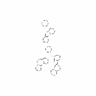 c1ccc(-c2cccc3c2oc2ccc(-c4ccc(N(c5ccc6c(ccc7ccccc76)c5)c5cccc6c5oc5c7ccccc7ccc65)cc4)cc23)cc1